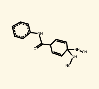 N#CNC1(NC#N)C=CC(C(=O)Nc2ccccc2)C=C1